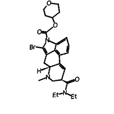 CCN(CC)C(=O)[C@@H]1C=C2c3cccc4c3c(c(Br)n4C(=O)OC3CCOCC3)C[C@H]2N(C)C1